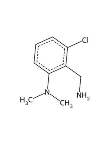 CN(C)c1cccc(Cl)c1CN